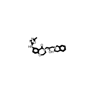 Cc1nnc(Nc2ccc3c(c2)C(=O)N(C[C@H](O)CN2CCc4ccccc4C2)CCO3)o1